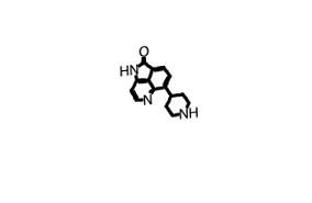 O=C1Nc2ccnc3c(C4CCNCC4)ccc1c23